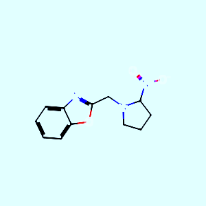 O=[N+]([O-])C1CCCN1Cc1nc2ccccc2o1